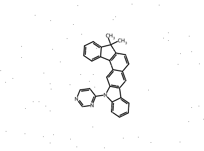 CC1(C)c2ccccc2-c2c1ccc1cc3c4ccccc4n(-c4ccncn4)c3cc21